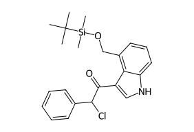 CC(C)(C)[Si](C)(C)OCc1cccc2[nH]cc(C(=O)C(Cl)c3ccccc3)c12